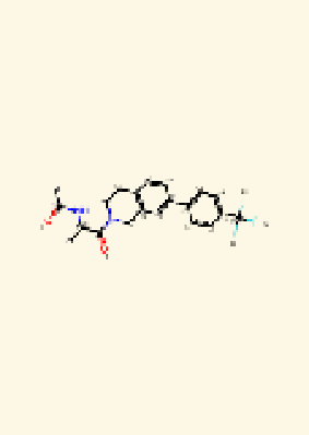 CC(=O)N[C@H](C)C(=O)N1CCc2ccc(-c3ccc(C(F)(F)F)cc3)cc2C1